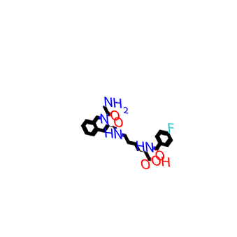 NCC(=O)N1Cc2ccccc2C[C@H]1C(=O)NCCCC[C@H](NC(=O)c1ccc(F)cc1)C(=O)O